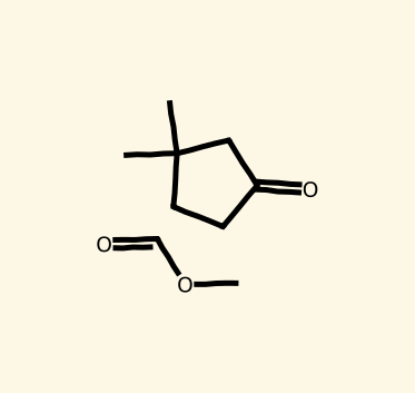 CC1(C)CCC(=O)C1.COC=O